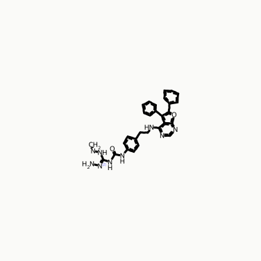 C=NN/C(=N\N)NC(=O)Nc1ccc(CCNc2ncnc3oc(-c4ccccc4)c(-c4ccccc4)c23)cc1